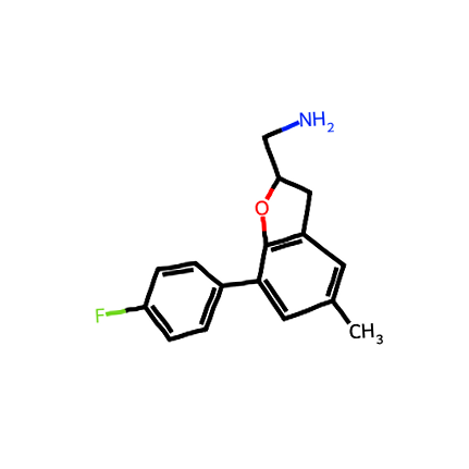 Cc1cc2c(c(-c3ccc(F)cc3)c1)OC(CN)C2